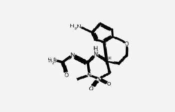 BC(=O)N=C1N[C@@]2(CCOc3ccc(N)cc32)CS(=O)(=O)N1C